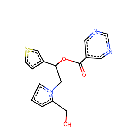 O=C(OC(Cn1cccc1CO)c1ccsc1)c1cncnc1